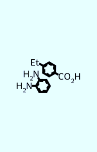 CCc1ccc(C(=O)O)cc1.Nc1ccccc1N